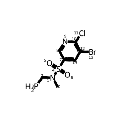 CN(CP)S(=O)(=O)c1cnc(Cl)c(Br)c1